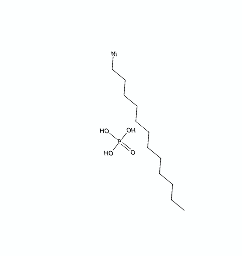 CCCCCCCCCCC[CH2][Ni].O=P(O)(O)O